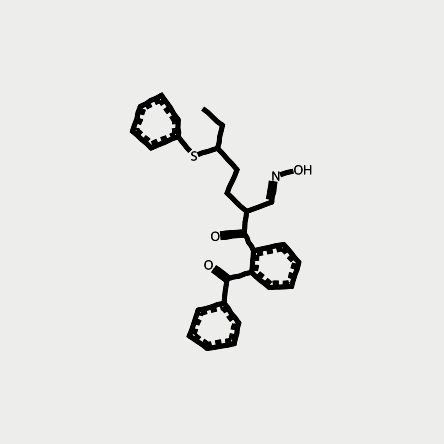 CCC(CCC(C=NO)C(=O)c1ccccc1C(=O)c1ccccc1)Sc1ccccc1